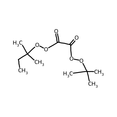 CCC(C)(C)OOC(=O)C(=O)OOC(C)(C)C